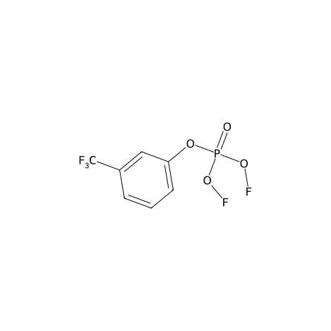 O=P(OF)(OF)Oc1cccc(C(F)(F)F)c1